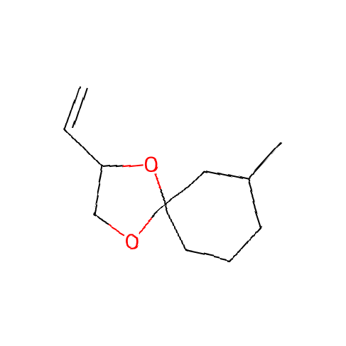 C=CC1COC2(CCCC(C)C2)O1